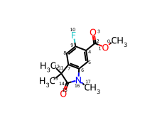 COC(=O)c1cc2c(cc1F)C(C)(C)C(=O)N2C